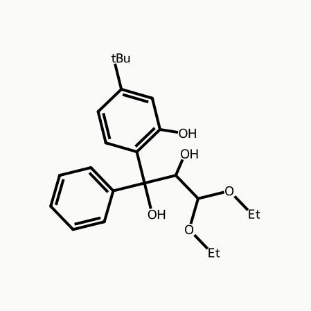 CCOC(OCC)C(O)C(O)(c1ccccc1)c1ccc(C(C)(C)C)cc1O